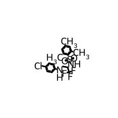 Cc1cc(C)c(S(=O)(=O)NC(CNc2ccc(Cl)cc2)C(F)(F)F)c(C)c1